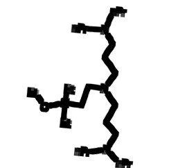 CCCN(CCC)CCCN(CCCN(CCC)CCC)CC[Si](CC)(CC)OCC